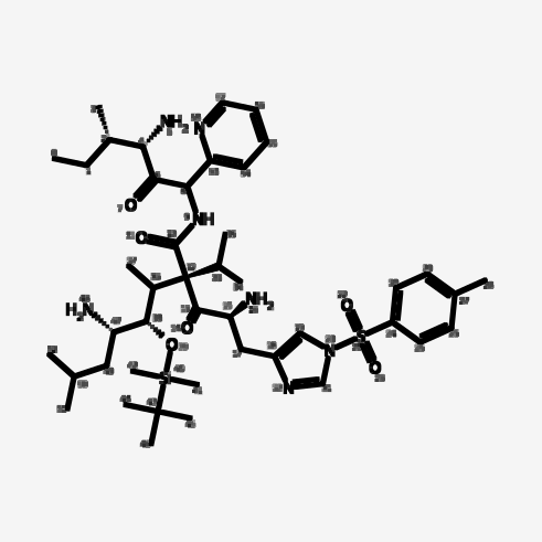 CC[C@H](C)[C@H](N)C(=O)C(NC(=O)[C@@](C(=O)[C@@H](N)Cc1cn(S(=O)(=O)c2ccc(C)cc2)cn1)(C(C)C)C(C)[C@H](O[Si](C)(C)C(C)(C)C)[C@@H](N)CC(C)C)c1ccccn1